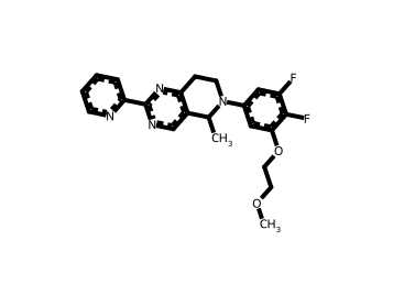 COCCOc1cc(N2CCc3nc(-c4ccccn4)ncc3C2C)cc(F)c1F